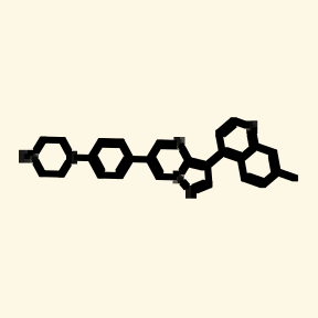 Cc1ccc2c(-c3cnn4cc(-c5ccc(N6CCNCC6)cc5)cnc34)ccnc2c1